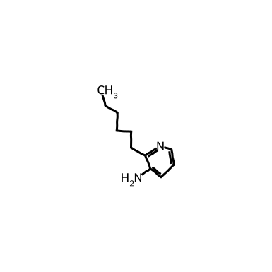 CCCCCCc1ncccc1N